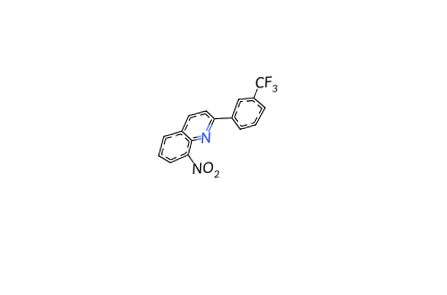 O=[N+]([O-])c1cccc2ccc(-c3cccc(C(F)(F)F)c3)nc12